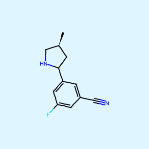 C[C@@H]1CNC(c2cc(F)cc(C#N)c2)C1